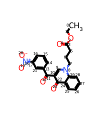 CCOC(=O)CCCn1cc(C(=O)c2cccc([N+](=O)[O-])c2)c(=O)c2ccccc21